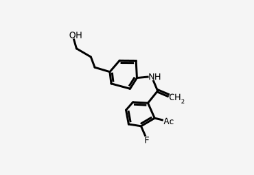 C=C(Nc1ccc(CCCO)cc1)c1cccc(F)c1C(C)=O